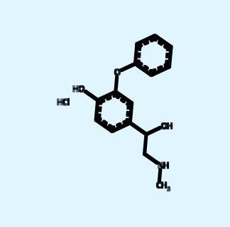 CNCC(O)c1ccc(O)c(Oc2ccccc2)c1.Cl